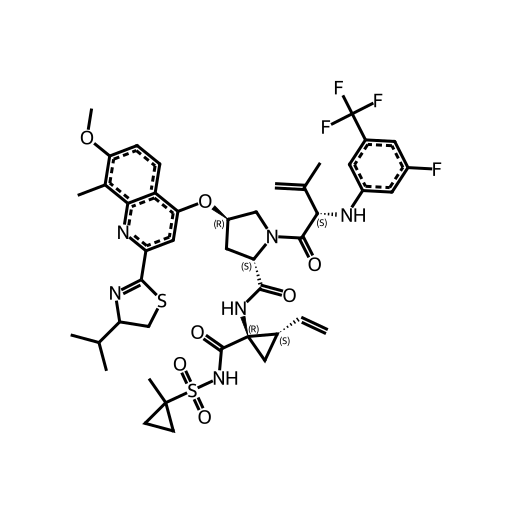 C=C[C@@H]1C[C@]1(NC(=O)[C@@H]1C[C@@H](Oc2cc(C3=NC(C(C)C)CS3)nc3c(C)c(OC)ccc23)CN1C(=O)[C@@H](Nc1cc(F)cc(C(F)(F)F)c1)C(=C)C)C(=O)NS(=O)(=O)C1(C)CC1